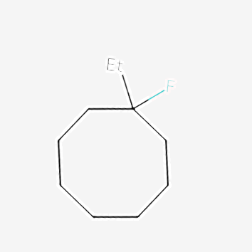 CCC1(F)CCCCCCC1